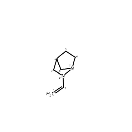 C=CN1CC2CCN1C2